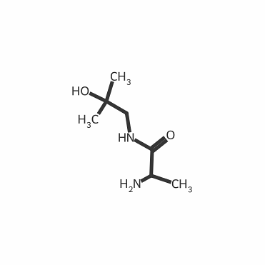 CC(N)C(=O)NCC(C)(C)O